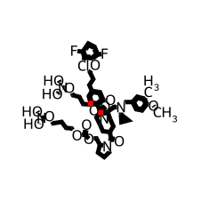 COc1ccc(CN(C(=O)C2=C(c3ccc(CCCOc4c(F)ccc(F)c4Cl)cc3)CC3CC(C(=O)N4CCCC4COC(=O)OCCCCON(O)O)CC2N3C(=O)OCCCCON(O)O)C2CC2)cc1C